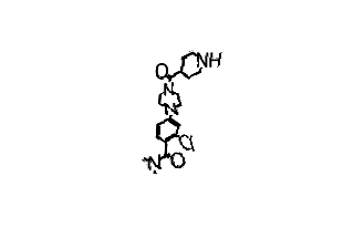 CN(C)C(=O)c1ccc(N2CCN(C(=O)C3CCNCC3)CC2)cc1Cl